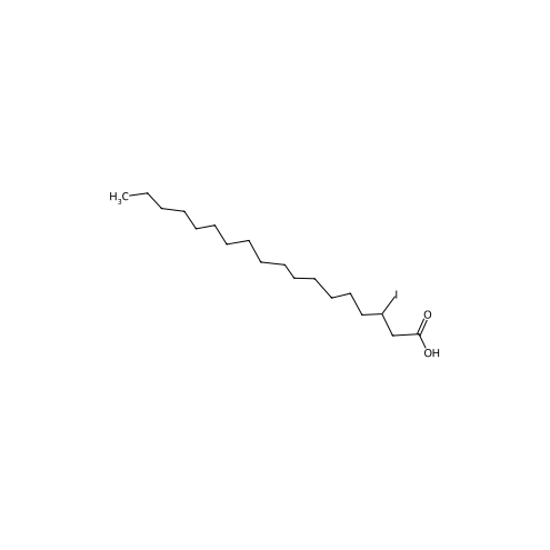 CCCCCCCCCCCCCCCC(I)CC(=O)O